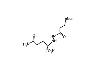 CCCCCCCCCCCC(=O)NNC(CCC(N)=O)C(=O)O